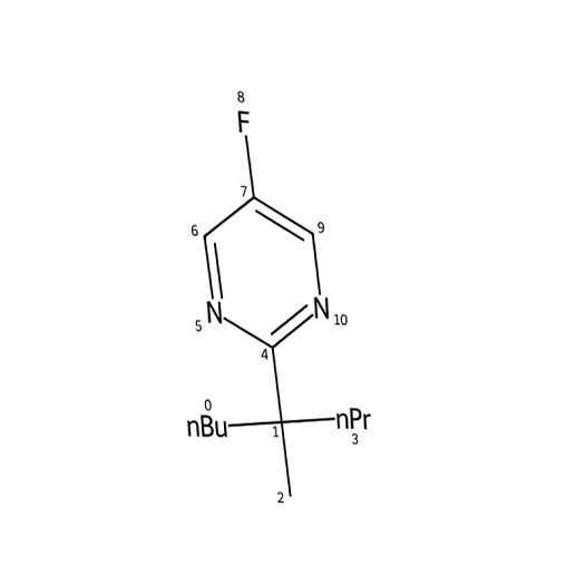 CCCCC(C)(CCC)c1ncc(F)cn1